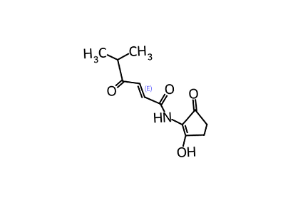 CC(C)C(=O)/C=C/C(=O)NC1=C(O)CCC1=O